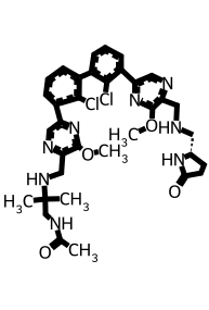 COc1nc(-c2cccc(-c3cccc(-c4cnc(CNC(C)(C)CNC(C)=O)c(OC)n4)c3Cl)c2Cl)cnc1CNC[C@@H]1CCC(=O)N1